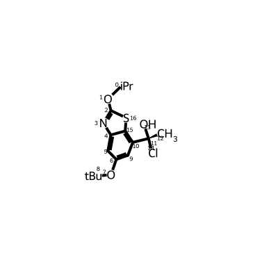 CC(C)Oc1nc2cc(OC(C)(C)C)cc([C@](C)(O)Cl)c2s1